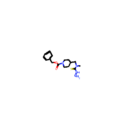 CN(CC1CCN(C(=O)OCc2ccccc2)CC1)C(=S)NN